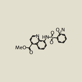 COC(=O)c1ccnc2c(NS(=O)(=O)c3ccccc3[N+](=O)[O-])cccc12